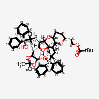 CC1(C)OCC(C[C@H]2O[C@H]3C(CC(C)(C)[Si](O)(c4ccccc4)c4ccccc4)[C@H]4O[C@@H](CCOC(=O)C(C)(C)C)CCC4O[C@H]3[C@H]2CC(C)(C)[Si](O)(c2ccccc2)c2ccccc2)O1